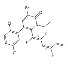 C=C/C(F)=C\C(F)=C(/F)c1c(-c2cc(F)ccc2Cl)cc(Br)c(=O)n1CC